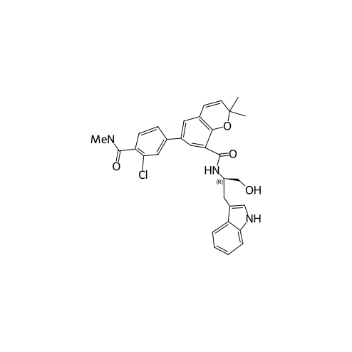 CNC(=O)c1ccc(-c2cc3c(c(C(=O)N[C@@H](CO)Cc4c[nH]c5ccccc45)c2)OC(C)(C)C=C3)cc1Cl